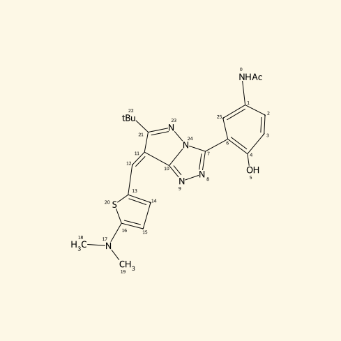 CC(=O)Nc1ccc(O)c(-c2nnc3/c(=C\c4ccc(N(C)C)s4)c(C(C)(C)C)nn23)c1